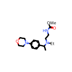 CCN(CCNC(=O)OC)C(C)c1ccc(N2CCOCC2)cc1